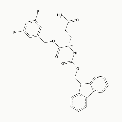 NC(=O)CC[C@H](NC(=O)OCC1c2ccccc2-c2ccccc21)C(=O)OCc1cc(F)cc(F)c1